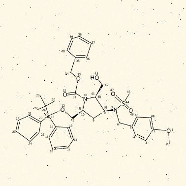 COc1ccc(CN([C@H]2C[C@@H](CO[Si](c3ccccc3)(c3ccccc3)C(C)(C)C)N(C(=O)OCc3ccccc3)[C@H]2CO)S(C)(=O)=O)cc1